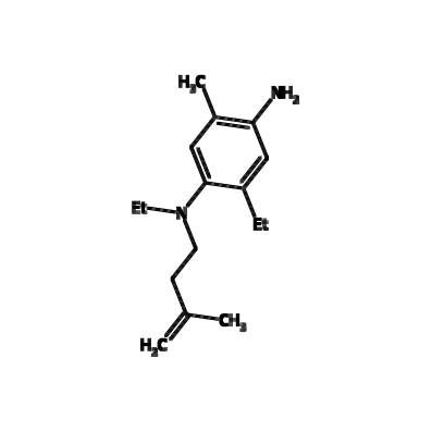 C=C(C)CCN(CC)c1cc(C)c(N)cc1CC